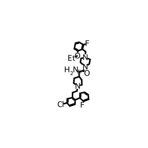 CCOc1cccc(F)c1CN1CCN(C(=O)[C@H](N)C2CCN(CCc3cc(Cl)ccc3-c3ccccc3F)CC2)CC1